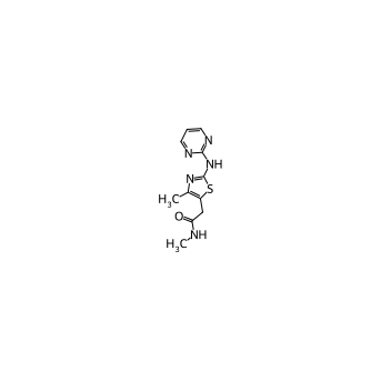 CNC(=O)Cc1sc(Nc2ncccn2)nc1C